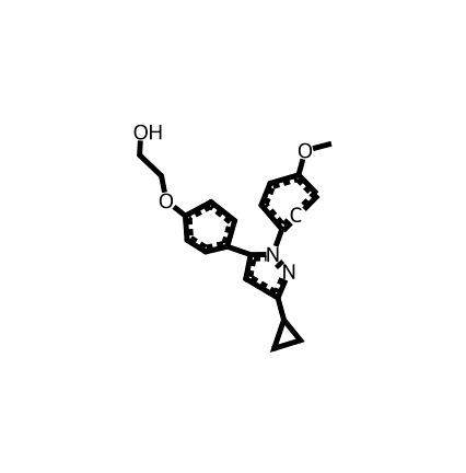 COc1ccc(-n2nc(C3CC3)cc2-c2ccc(OCCO)cc2)cc1